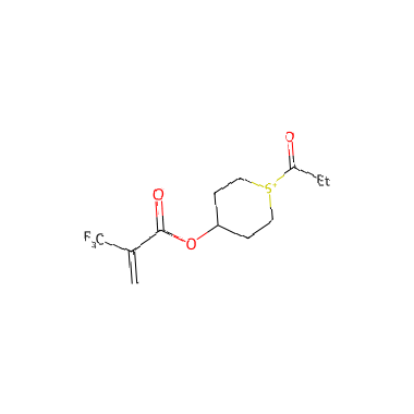 C=C(C(=O)OC1CC[S+](C(=O)CC)CC1)C(F)(F)F